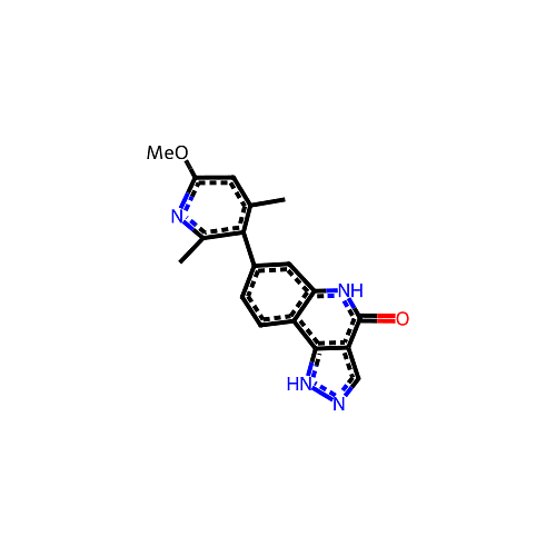 COc1cc(C)c(-c2ccc3c(c2)[nH]c(=O)c2cn[nH]c23)c(C)n1